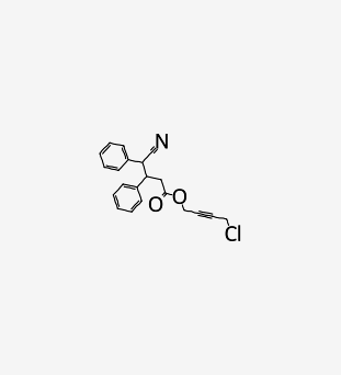 N#CC(c1ccccc1)C(CC(=O)OCC#CCCl)c1ccccc1